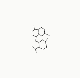 CC1CCC(C(C)C)C([CH]C(C)C2CC(C)CCC2C(C)C)C1